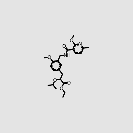 CCOC(=O)C(Cc1ccc(OC)c(CNC(=O)c2ccc(C)nc2OC)c1)OC(C)C